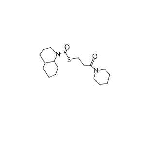 O=C(CCSC(=O)N1CCCC2CCCCC21)N1CCCCC1